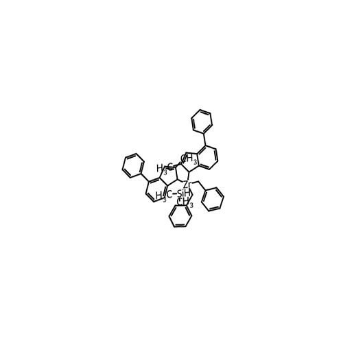 CC1=Cc2c(-c3ccccc3)cccc2[CH]1[Zr]([CH2]c1ccccc1)([CH2]c1ccccc1)([CH]1C(C)=Cc2c(-c3ccccc3)cccc21)[SiH](C)C